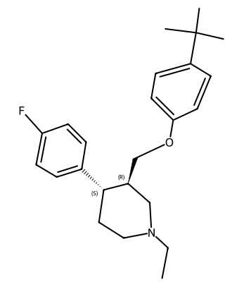 CCN1CC[C@H](c2ccc(F)cc2)[C@@H](COc2ccc(C(C)(C)C)cc2)C1